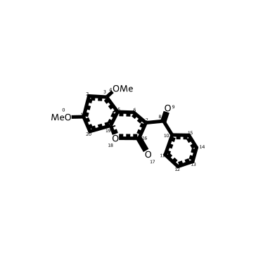 COc1cc(OC)c2cc(C(=O)c3ccccc3)c(=O)oc2c1